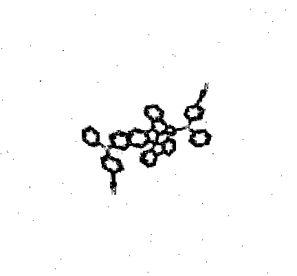 N#Cc1ccc(N(c2ccccc2)c2ccc3cc4c(cc3c2)C2(c3ccccc3-c3ccccc32)c2c-4c3ccccc3c3cc(N(c4ccccc4)c4ccc(C#N)cc4)ccc23)cc1